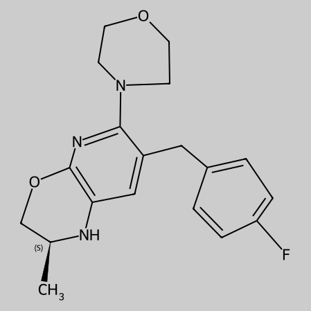 C[C@H]1COc2nc(N3CCOCC3)c(Cc3ccc(F)cc3)cc2N1